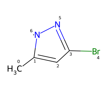 CC1=CC(Br)=N[N]1